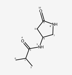 CC(C)C(=O)NC1CNC(=O)C1